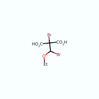 CCOC(Br)C(Br)(C(=O)O)C(=O)O